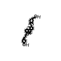 Cc1c(-c2nc3c(s2)CN(CCO)CC3)cccc1-c1cccc(OCCCN2CCC(O)CC2)c1C(F)(F)F